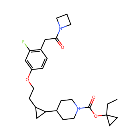 CCC1(OC(=O)N2CCC(C3CC3CCOc3ccc(CC(=O)N4CCC4)c(F)c3)CC2)CC1